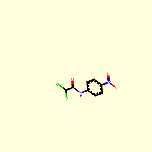 O=C(Nc1ccc([N+](=O)[O-])cc1)C(Cl)Cl